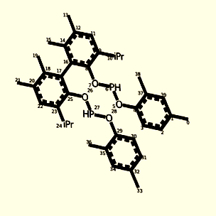 Cc1ccc(OPOc2c(C(C)C)cc(C)c(C)c2-c2c(C)c(C)cc(C(C)C)c2OPOc2ccc(C)cc2C)c(C)c1